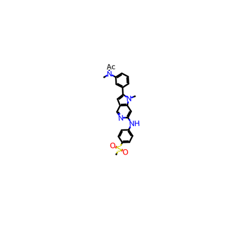 CC(=O)N(C)c1cccc(-c2cc3cnc(Nc4ccc(S(C)(=O)=O)cc4)cc3n2C)c1